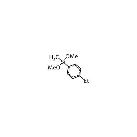 CCc1ccc([Si](C)(OC)OC)cc1